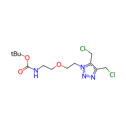 CC(C)(C)OC(=O)NCCOCCn1nnc(CCl)c1CCl